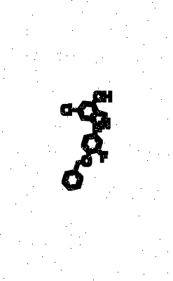 Oc1cc(Cl)cc2c1cnn2-c1ccc(OCc2ccccc2)c(F)c1